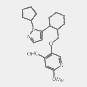 COc1cc(C=O)c(OCC2CCCCC2c2ccnn2C2CCCC2)cn1